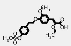 CCOC(=Cc1ccc(OCCc2ccc(OS(C)(=O)=O)cc2)c(OC)c1)C(=O)O